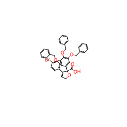 O=C(O)C1(c2cc(OCc3ccccc3)c(OCc3ccccc3)c(OCc3ccccc3)c2)OCC=C1c1ccc(Br)cc1